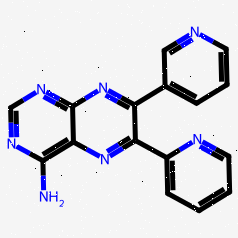 Nc1ncnc2nc(-c3cccnc3)c(-c3ccccn3)nc12